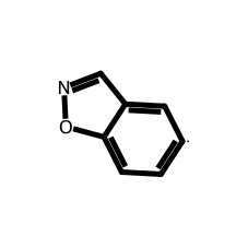 [c]1ccc2oncc2c1